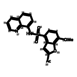 COc1ccc(S(=O)(=O)Nc2cccc3cccnc23)c2cc(C(C)=O)oc12